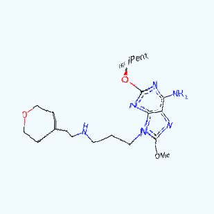 CCC[C@H](C)Oc1nc(N)c2nc(OC)n(CCCNCC3CCOCC3)c2n1